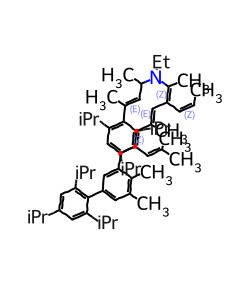 C\C=C/C(/C=C(C)/C=C(\C=C(C)C)Cc1cc(-c2c(C(C)C)cc(C(C)C)cc2C(C)C)cc(C)c1C)=C(\C)N(CC)C(C)/C=C(\C)c1c(C(C)C)cc(C(C)C)cc1C(C)C